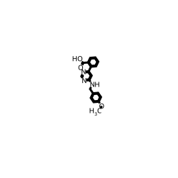 COc1ccc(CNc2cc(-c3ccccc3C(=O)O)ncn2)cc1